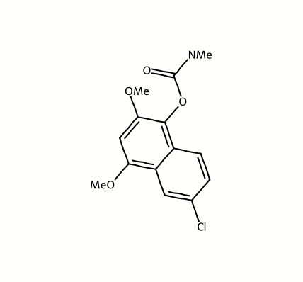 CNC(=O)Oc1c(OC)cc(OC)c2cc(Cl)ccc12